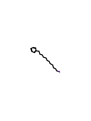 ICCCCCCCCCCCCc1ccccc1